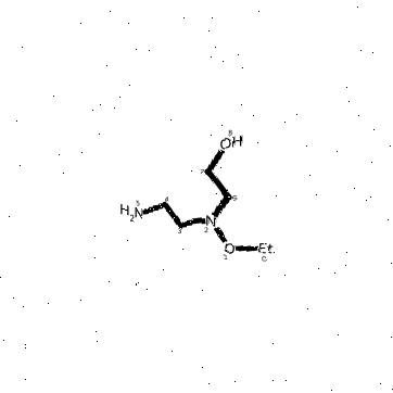 CCON(CCN)CCO